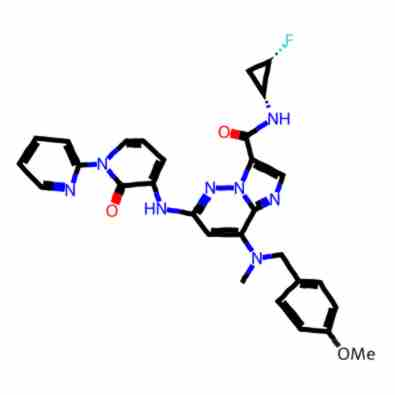 COc1ccc(CN(C)c2cc(Nc3cccn(-c4ccccn4)c3=O)nn3c(C(=O)N[C@@H]4C[C@@H]4F)cnc23)cc1